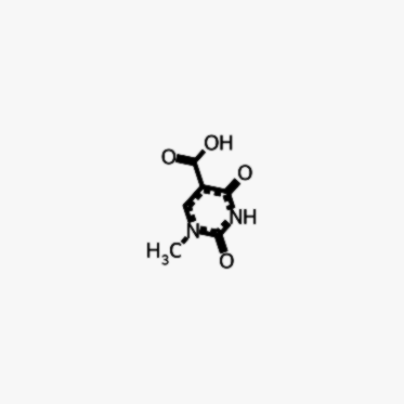 Cn1cc(C(=O)O)c(=O)[nH]c1=O